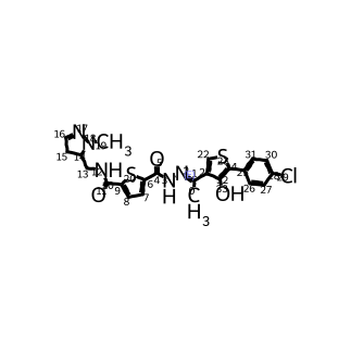 C/C(=N\NC(=O)c1ccc(C(=O)NCC2CC=NN2C)s1)c1csc(-c2ccc(Cl)cc2)c1O